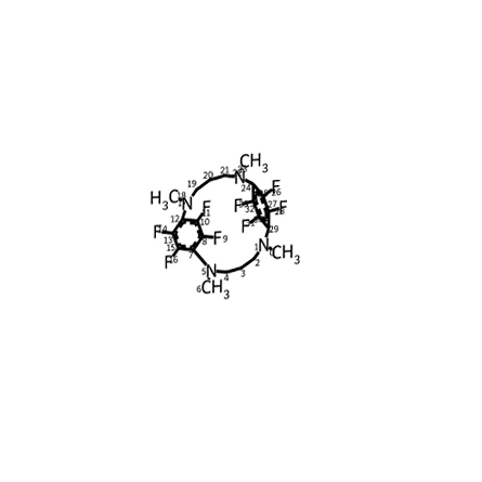 CN1CCCN(C)c2c(F)c(F)c(c(F)c2F)N(C)CCCN(C)c2c(F)c(F)c1c(F)c2F